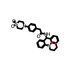 O=C(Cc1ccc(N2CCS(=O)(=O)CC2)cc1)NC(c1ccccc1)c1ccccc1N1CCCCC1